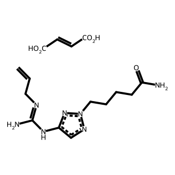 C=CCN=C(N)Nc1cnn(CCCCC(N)=O)n1.O=C(O)C=CC(=O)O